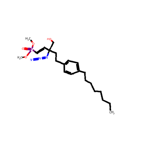 CCCCCCCCc1ccc(CCC(C=CP(=O)(OC)OC)(CO)N=[N+]=[N-])cc1